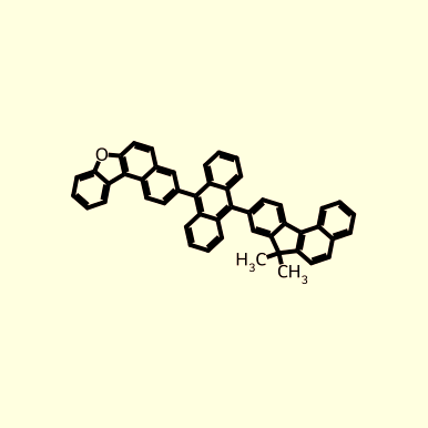 CC1(C)c2cc(-c3c4ccccc4c(-c4ccc5c(ccc6oc7ccccc7c65)c4)c4ccccc34)ccc2-c2c1ccc1ccccc21